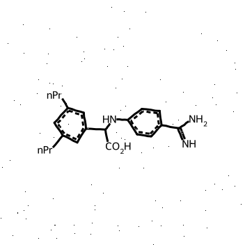 CCCc1cc(CCC)cc(C(Nc2ccc(C(=N)N)cc2)C(=O)O)c1